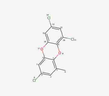 Cc1cc(Cl)cc2c1Oc1c(Cl)cc(Cl)cc1O2